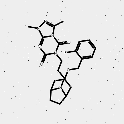 Cc1nn(C)c2nc(=O)n(CCCN3C4CCC3CC(OCc3ccccc3F)C4)c(=O)n12